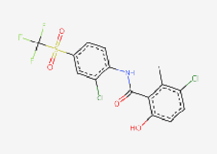 Cc1c(Cl)ccc(O)c1C(=O)Nc1ccc(S(=O)(=O)C(F)(F)F)cc1Cl